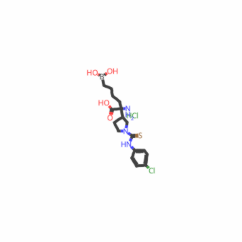 Cl.NC(CCCCB(O)O)(C(=O)O)C1CCN(C(=S)Nc2ccc(Cl)cc2)C1